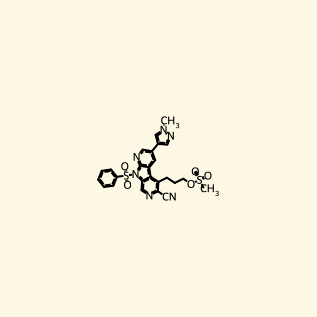 Cn1cc(-c2cnc3c(c2)c2c(CCCOS(C)(=O)=O)c(C#N)ncc2n3S(=O)(=O)c2ccccc2)cn1